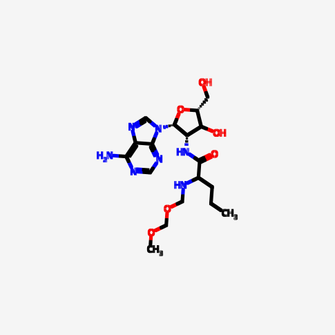 CCCC(NCOCOC)C(=O)N[C@H]1C(O)[C@@H](CO)O[C@H]1n1cnc2c(N)ncnc21